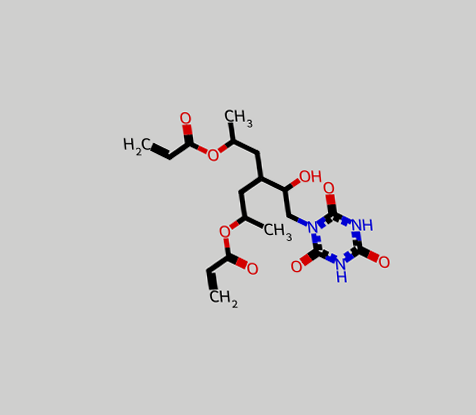 C=CC(=O)OC(C)CC(CC(C)OC(=O)C=C)C(O)Cn1c(=O)[nH]c(=O)[nH]c1=O